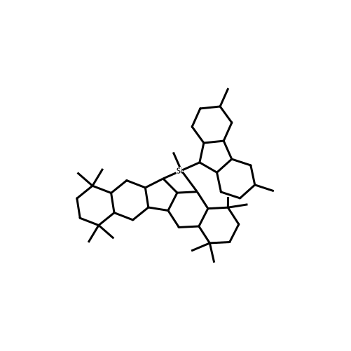 CC1CCC2C(C1)C1CC(C)CCC1C2[Si]1(C)C2C3CC4C(CC3C3CC5C(C1C32)C(C)(C)CCC5(C)C)C(C)(C)CCC4(C)C